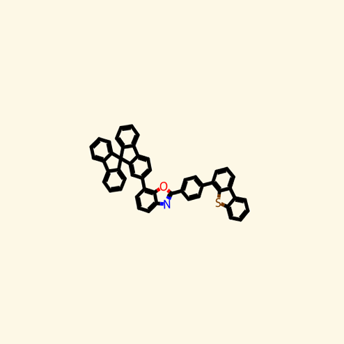 c1ccc2c(c1)-c1ccccc1C21c2ccccc2-c2ccc(-c3cccc4nc(-c5ccc(-c6cccc7c6sc6ccccc67)cc5)oc34)cc21